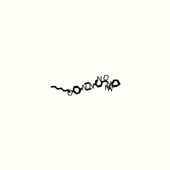 CCCCCCOc1ccc(N2CCN(c3ccc(C(=O)n4nnc5ccccc54)nc3)CC2)cc1